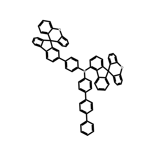 c1ccc(-c2ccc(-c3ccc(N(c4ccc(-c5ccc6c(c5)C5(c7ccccc7Oc7ccccc75)c5ccccc5-6)cc4)c4cccc5c4-c4ccccc4C54c5ccccc5Oc5ccccc54)cc3)cc2)cc1